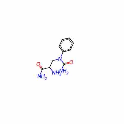 NC(=O)C(N)CN(C(N)=O)c1ccccc1